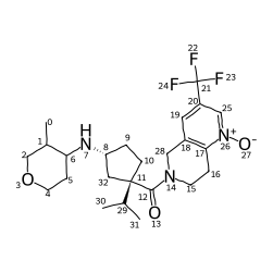 CC1COCCC1N[C@@H]1CC[C@@](C(=O)N2CCc3c(cc(C(F)(F)F)c[n+]3[O-])C2)(C(C)C)C1